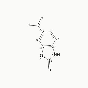 C=C1Nc2ncc(C(C)C)cc2O1